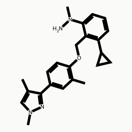 Cc1cc(-c2nn(C)cc2C)ccc1OCc1c(C2CC2)cccc1N(C)N